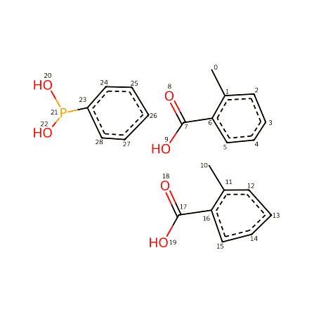 Cc1ccccc1C(=O)O.Cc1ccccc1C(=O)O.OP(O)c1ccccc1